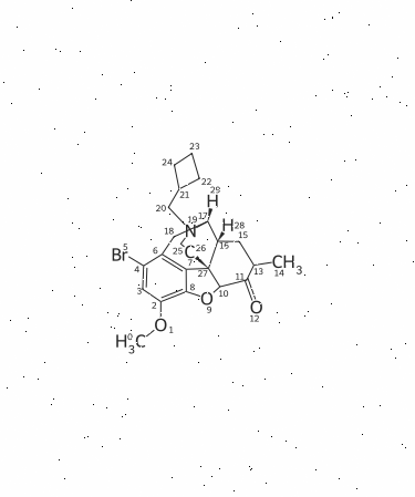 COc1cc(Br)c2c3c1OC1C(=O)C(C)C[C@H]4[C@@H](C2)N(CC2CCC2)CC[C@]314